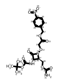 CC(C)(C)OC(=O)N[C@@H]1C(=O)N(OCC(=O)OCc2ccc([N+](=O)[O-])cc2)[C@H]1COC(N)=O